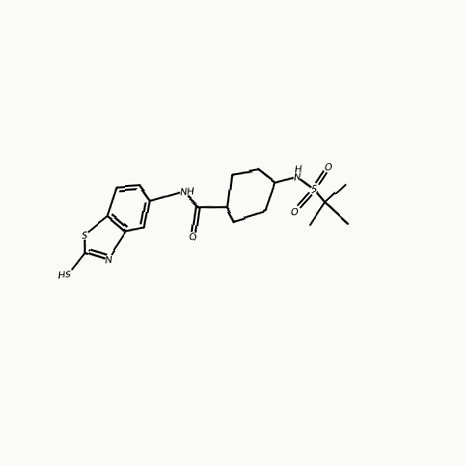 CC(C)(C)S(=O)(=O)NC1CCC(C(=O)Nc2ccc3sc(S)nc3c2)CC1